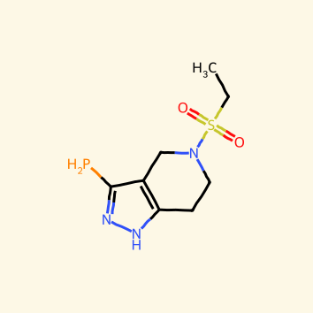 CCS(=O)(=O)N1CCc2[nH]nc(P)c2C1